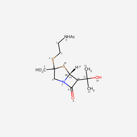 CC(=O)NCCSC1(C(=O)O)CN2C(=O)C(C(C)(C)O)[C@H]2S1